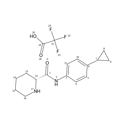 O=C(Nc1ccc(C2CC2)cc1)[C@H]1CCCCN1.O=C(O)C(F)(F)F